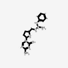 Nc1ncn(C2CCC(COP(N)Oc3ccccc3)O2)c(=O)n1